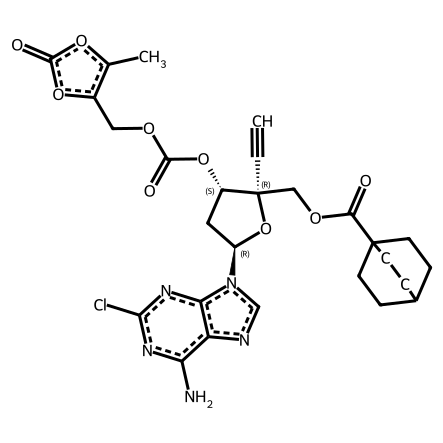 C#C[C@]1(COC(=O)C23CCC(CC2)CC3)O[C@@H](n2cnc3c(N)nc(Cl)nc32)C[C@@H]1OC(=O)OCc1oc(=O)oc1C